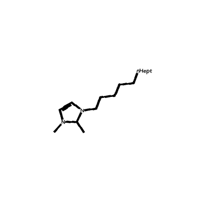 CCCCCCCCCCCCN1C=CN(C)C1C